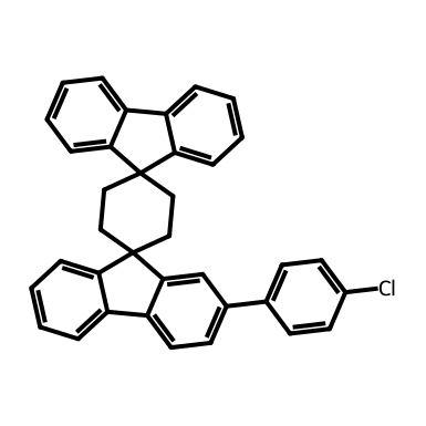 Clc1ccc(-c2ccc3c(c2)C2(CCC4(CC2)c2ccccc2-c2ccccc24)c2ccccc2-3)cc1